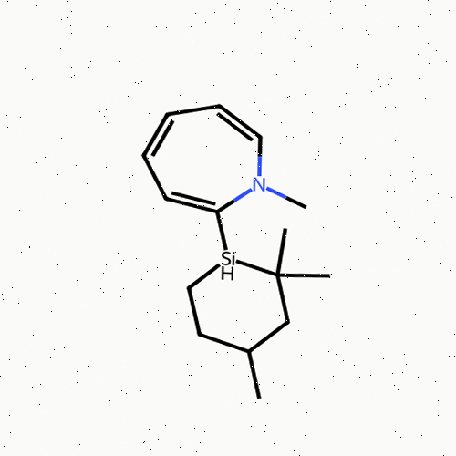 CC1CC[SiH](C2=CC=CC=CN2C)C(C)(C)C1